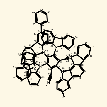 Cc1ccc2c(c1)c1ccc3c4ccccc4sc3c1n2-c1c(C#N)c(-n2c3ccccc3c3ccccc32)c(-n2c3ccc(-c4ccccc4)cc3c3ccc4c5ccccc5sc4c32)c(-n2c3ccccc3c3ccccc32)c1C#N